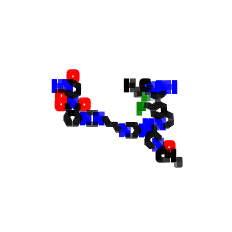 CN/C=C(\C=N)c1cc2c(cc1C(F)F)N(c1nn(C3CCN(CCCCN4CCN(c5cccc6c5C(=O)N(C5CCC(=O)NC5=O)C6=O)CC4)CC3)c3c1CN(C(C)=O)CC3)CCC2